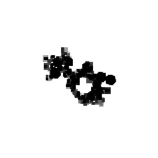 Cc1sc2c(c1C)C(c1ccc(Cl)cc1)=N[C@@H](CC(=O)NC[C@H]1NC(=O)[C@@H](Cc3ccncc3)NC(=O)[C@@H](Cc3ccc(-c4ccccc4)cc3)NC(=O)[C@@H]3C[C@@H](O)CN3C(=O)[C@H](C(C)(C)C)NC(=O)COCCNC1=O)c1nnc(C)n1-2